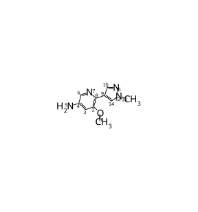 COc1cc(N)cnc1-c1cnn(C)c1